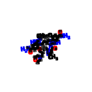 CCn1nc(C)cc1C(=O)/N=c1\[nH]c2cc(C(N)=O)cc(OC)c2n1C/C=C/Cn1/c(=N/C)[nH]c2cc(C(N)=O)cc(OCCCN3CCOCC3)c21